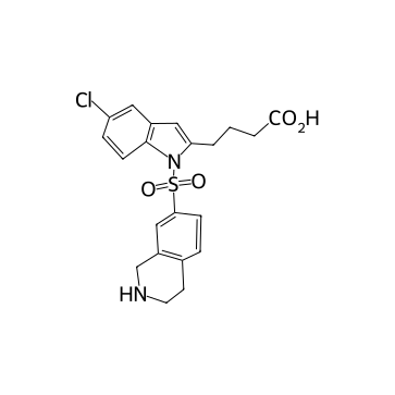 O=C(O)CCCc1cc2cc(Cl)ccc2n1S(=O)(=O)c1ccc2c(c1)CNCC2